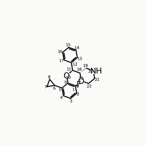 Fc1cccc(C2CC2)c1O[C@@H](c1ccccc1)[C@@H]1CNCCO1